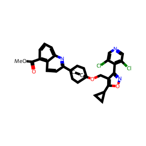 COC(=O)c1cccc2nc(C34CCC(OCc5c(-c6c(Cl)cncc6Cl)noc5C5CC5)(CC3)CC4)ccc12